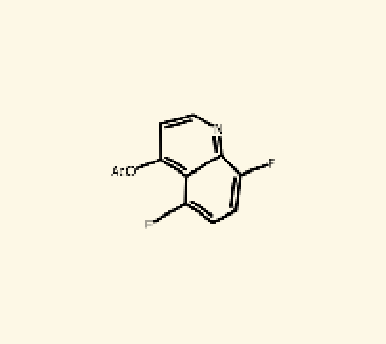 CC(=O)Oc1ccnc2c(F)ccc(F)c12